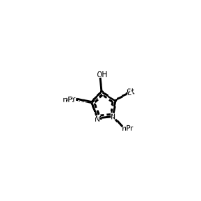 CCCc1nn(CCC)c(CC)c1O